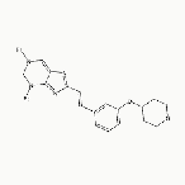 CCN1C=C2N=C(C=Cc3cccc(OC4CCOCC4)c3)N=C2N(CC)C1